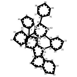 c1ccc(-c2ccc3c4ccc5ccccc5c4n(-c4ccccc4-c4nc(-c5ccccc5)nc(-c5ccccc5)n4)c3c2)cc1